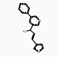 CC(C=Cc1ccoc1)c1cncc(-c2ccccc2)c1